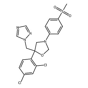 CS(=O)(=O)c1ccc(N2COC(Cn3cncn3)(c3ccc(Cl)cc3Cl)C2)cc1